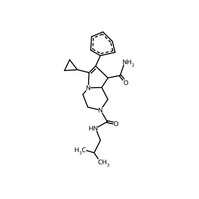 CC(C)CNC(=O)N1CCN2C(C3CC3)=C(c3ccccc3)C(C(N)=O)C2C1